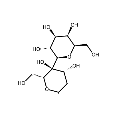 OC[C@H]1O[C@@H]([C@]2(O)[C@H](O)C[CH]O[C@@H]2CO)[C@H](O)[C@@H](O)[C@H]1O